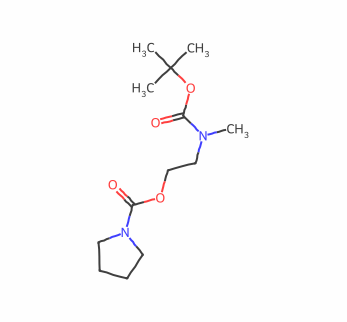 CN(CCOC(=O)N1CCCC1)C(=O)OC(C)(C)C